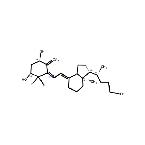 C=C1/C(=C\C=C2CCC[C@@]3(C)C2CC[C@@H]3[C@H](C)CCCC(C)C)C(F)(F)[C@@H](O)C[C@H]1O